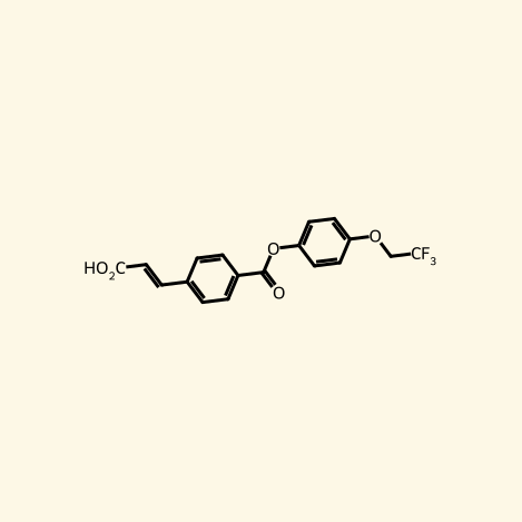 O=C(O)C=Cc1ccc(C(=O)Oc2ccc(OCC(F)(F)F)cc2)cc1